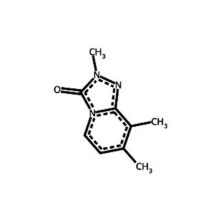 Cc1ccn2c(=O)n(C)nc2c1C